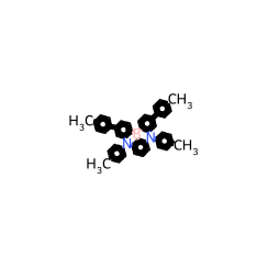 Cc1ccc(-c2ccc3c(c2)N(c2ccc(C)cc2)c2cccc4c2B3c2ccc(-c3ccc(C)cc3)cc2N4c2ccc(C)cc2)cc1